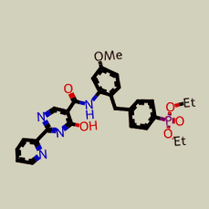 CCOP(=O)(OCC)c1ccc(Cc2ccc(OC)cc2NC(=O)c2cnc(-c3ccccn3)nc2O)cc1